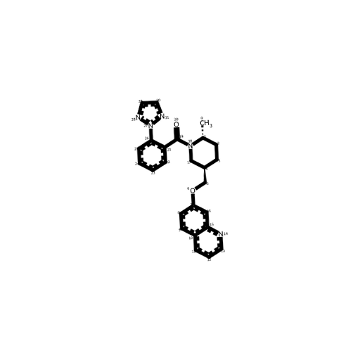 C[C@@H]1CC[C@@H](COc2ccc3cccnc3c2)CN1C(=O)c1ccccc1-n1nccn1